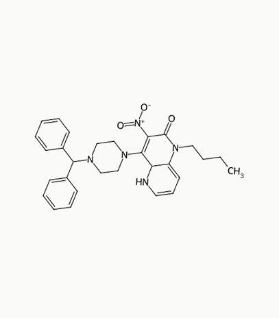 CCCCN1C(=O)C([N+](=O)[O-])=C(N2CCN(C(c3ccccc3)c3ccccc3)CC2)C2NC=CC=C21